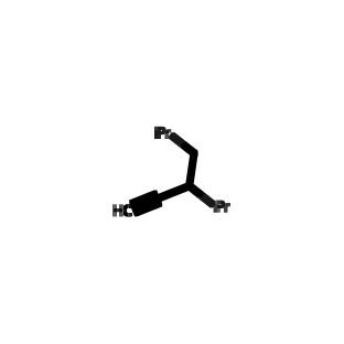 C#CC(CC(C)C)C(C)C